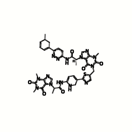 CC1C=CC=C(c2ccc(NC(=O)[C@@H](C)n3cnc4c3c(=O)n(Cc3cnc(C5=CC=C(NC(=O)C(C)n6cnc7c6c(=O)n(C)c(=O)n7C)NC5)s3)c(=O)n4C)nn2)C1